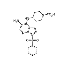 Nc1cnc2c(ccn2S(=O)(=O)c2ccccc2)c1NC1CCN(C(=O)O)CC1